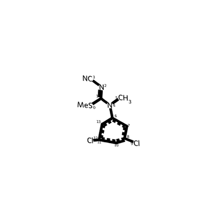 CS/C(=N\C#N)N(C)c1cc(Cl)cc(Cl)c1